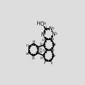 Oc1nnc2cc3cccc4c3c(c2n1)-c1ccccc1-4